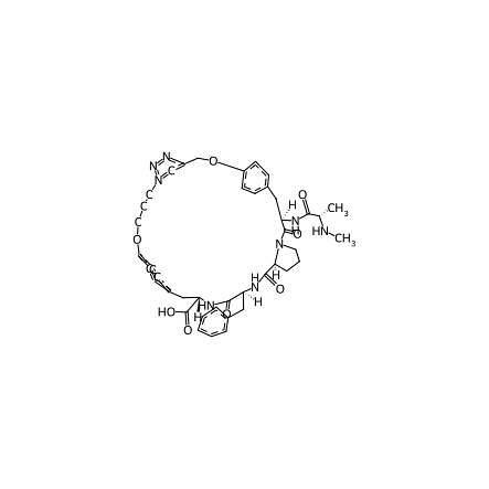 CN[C@@H](C)C(=O)N[C@@H]1Cc2ccc(cc2)OCc2cn(nn2)CCCOc2ccc(cc2)C[C@@H](C(=O)O)NC(=O)[C@H](Cc2ccccc2)NC(=O)[C@@H]2CCCN2C1=O